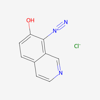 N#[N+]c1c(O)ccc2ccncc12.[Cl-]